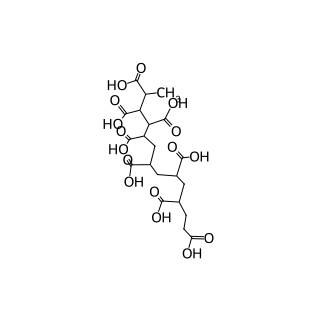 CC(C(=O)O)C(C(=O)O)C(C(=O)O)C(CC(CC(CC(CCC(=O)O)C(=O)O)C(=O)O)C(=O)O)C(=O)O